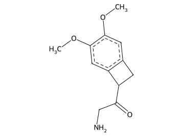 COc1cc2c(cc1OC)C(C(=O)CN)C2